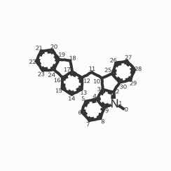 Cn1c2c(c3ccccc31)C(Cc1cccc3c1Cc1ccccc1-3)c1ccccc1-2